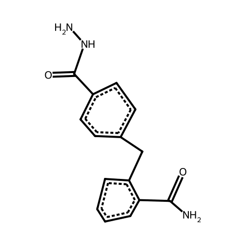 NNC(=O)c1ccc(Cc2ccccc2C(N)=O)cc1